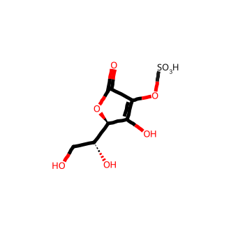 O=C1O[C@H]([C@H](O)CO)C(O)=C1OS(=O)(=O)O